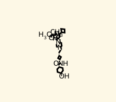 CC(C)(C)c1nc(C2CCC2)cc(N2CCN(CC[C@H]3C[C@@H](NC(=O)[C@H]4CC[C@H](O)CC4)C3)CC2)n1